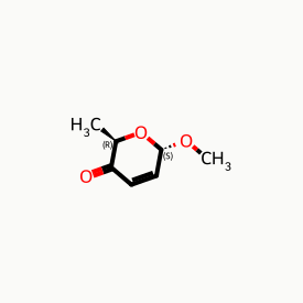 CO[C@@H]1C=CC(=O)[C@@H](C)O1